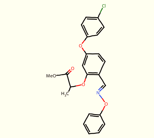 COC(=O)C(C)Oc1cc(Oc2ccc(Cl)cc2)ccc1/C=N/Oc1ccccc1